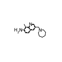 Cc1c(N)ccc2cc(CN3CCCCCC3)cnc12